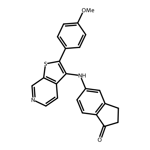 COc1ccc(-c2sc3cnccc3c2Nc2ccc3c(c2)CCC3=O)cc1